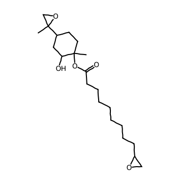 CC1(OC(=O)CCCCCCCCC2CO2)CCC(C2(C)CO2)CC1O